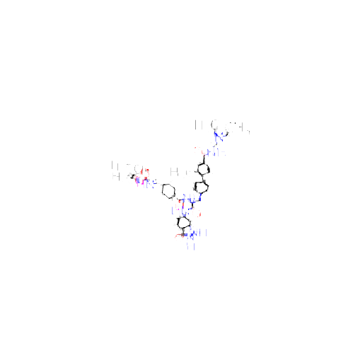 CCN(CC)CCNC(=O)c1ccc(-c2ccc(C[C@H](NC(=O)[C@H]3CC[C@H](CNC(=O)OC(C)(C)C)CC3)C(=O)Nc3ccc4c(=O)[nH][nH]c4c3)cc2)c(C)c1